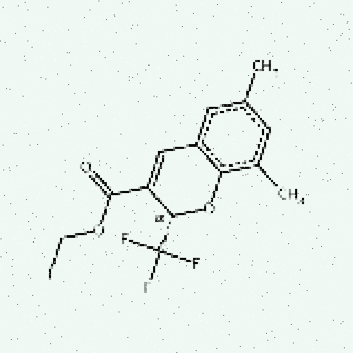 Cc1cc(C)c2c(c1)C=C(C(=O)OCI)[C@@H](C(F)(F)F)O2